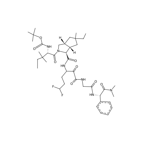 CCC1(C)C[C@H]2CN(C(=O)[C@@H](NC(=O)OC(C)(C)C)C(C)(C)CC)[C@H](C(=O)NC(CCC(F)F)C(=O)C(=O)NCC(=O)N[C@H](C(=O)N(C)C)c3ccccc3)[C@H]2C1